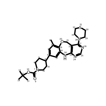 Cc1cc(C2CCN(C(=O)OC(C)(C)C)CC2)cc2c1OCc1c(ncnc1N1CCSCC1)N2